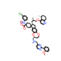 COc1ccccc1-c1nccc(CN(C)C[C@@H]2CCOc3cc4c(cc3O2)C2(CCC(Nc3cccc(Cl)c3)(C(=O)O)CC2)[C@@H](C[C@@H](C)COc2ccnc3c2[C@H](C)CCC3)C4)n1